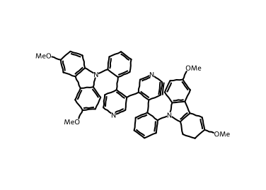 COC1=Cc2c(n(-c3ccccc3-c3c#cncc3-c3cnccc3-c3ccccc3-n3c4ccc(OC)cc4c4cc(OC)ccc43)c3ccc(OC)cc23)CC1